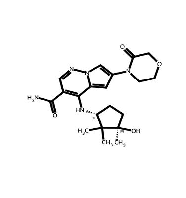 CC1(C)[C@H](Nc2c(C(N)=O)cnn3cc(N4CCOCC4=O)cc23)CC[C@@]1(C)O